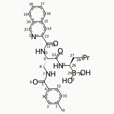 Cc1ccc(C(=O)NC[C@H](NC(=O)c2cc3ccccc3cn2)C(=O)N[C@@H](CC(C)C)B(O)O)cc1